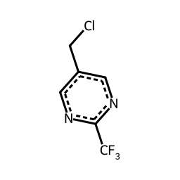 FC(F)(F)c1ncc(CCl)cn1